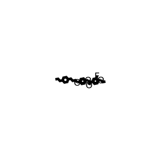 CCCC1CCC(CCCOc2ccc(OC(=O)c3ccc(OCC)c(F)c3)cc2)CC1